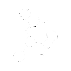 COC(=O)C[C@@H](Nc1nc(N2CCOCC2)nc(-n2c(C(F)F)nc3ccccc32)n1)c1ccccc1